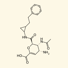 CC(=O)N[C@@H]1[C@H](N)C=C(C(=O)O)O[C@H]1C(=O)NC1CC1CCc1ccccc1